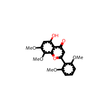 COc1cccc(OC)c1-c1cc(=O)c2c(O)cc(OC)c(OC)c2o1